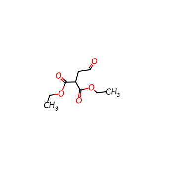 CCOC(=O)C(CC=O)C(=O)OCC